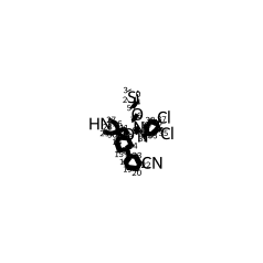 C[Si](C)(C)CCOCn1c(OCC2(c3ccc(-c4cccc(C#N)c4)cc3)CCNCC2)nc2cc(Cl)c(Cl)cc21